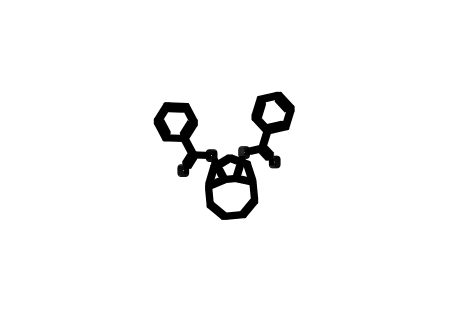 O=C(OC1C2CCCCC(CCC2)C1OC(=O)c1ccccc1)c1ccccc1